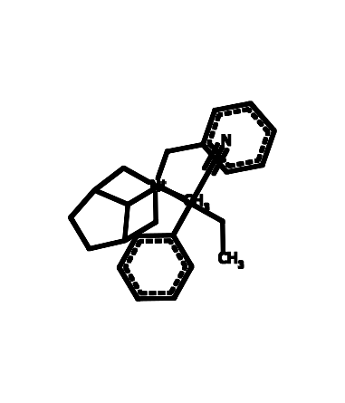 CCC(C#N)(CC1C2CCC1C[N+](C)(Cc1ccccc1)C2)c1ccccc1